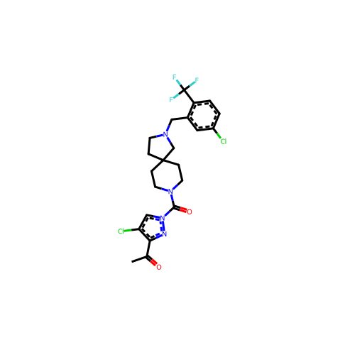 CC(=O)c1nn(C(=O)N2CCC3(CCN(Cc4cc(Cl)ccc4C(F)(F)F)C3)CC2)cc1Cl